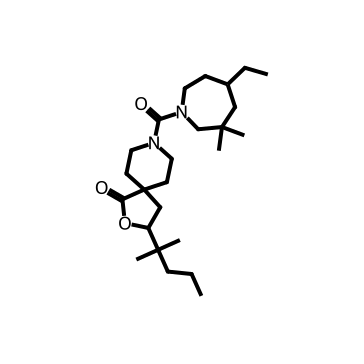 CCCC(C)(C)C1CC2(CCN(C(=O)N3CCC(CC)CC(C)(C)C3)CC2)C(=O)O1